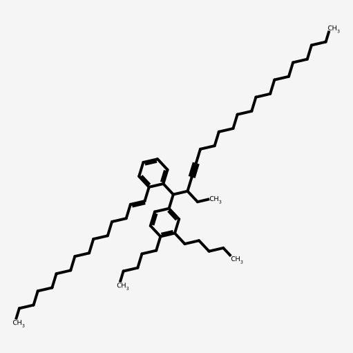 CCCCCCCCCCCCCC=Cc1ccccc1C(c1ccc(CCCCC)c(CCCCC)c1)C(C#CCCCCCCCCCCCCCCC)CC